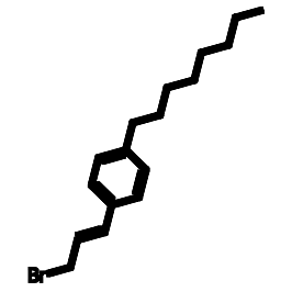 CCCCCCCCc1ccc(C=CCBr)cc1